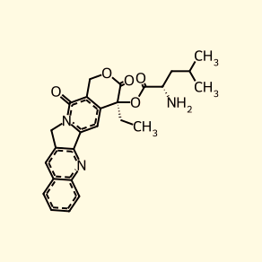 CC[C@@]1(OC(=O)[C@@H](N)CC(C)C)C(=O)OCc2c1cc1n(c2=O)Cc2cc3ccccc3nc2-1